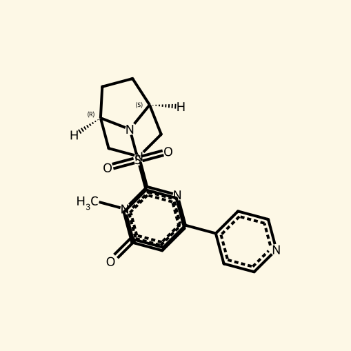 Cn1c(N2C[C@H]3CC[C@@H](C2)N3S(=O)(=O)c2ccccc2)nc(-c2ccncc2)cc1=O